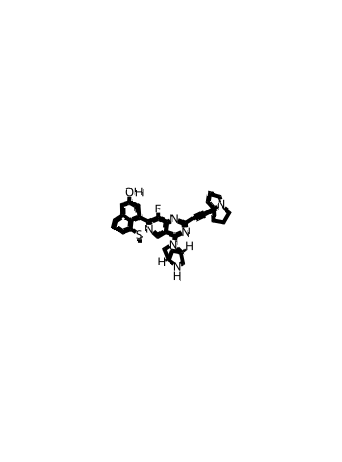 CSc1cccc2cc(O)cc(-c3ncc4c(N5C[C@@H]6C[C@H]5CN6)nc(C#CC56CCCN5CCC6)nc4c3F)c12